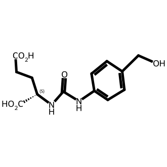 O=C(O)CC[C@H](NC(=O)Nc1ccc(CO)cc1)C(=O)O